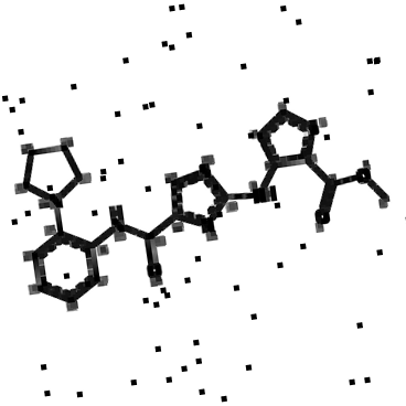 COC(=O)c1sccc1Nc1nc(C(=O)Nc2ccccc2N2CCCC2)cs1